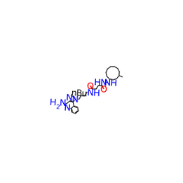 CCCCc1nc2c(N)nc3ccccc3c2n1CCCCNC(=O)CCC(=O)NNC1CCCCCCCC(C)CC1